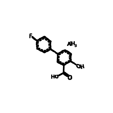 O=C(O)c1cc(-c2ccc(F)cc2)ccc1O.[AlH3]